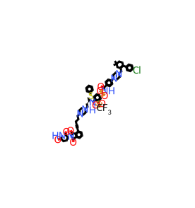 CC1(C)CCC(c2ccc(Cl)cc2)=C(CN2CCN(c3ccc(C(=O)NS(=O)(=O)c4ccc(N[C@H](CCN5CCN(CCCC#Cc6cccc7c6C(=O)N(C6CCC(=O)NC6=O)C7=O)CC5)CSc5ccccc5)c(S(=O)(=O)C(F)(F)F)c4)cc3)CC2)C1